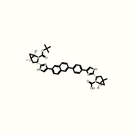 CC(C)(C)OC(=O)N1[C@H](c2nc(-c3ccc4cc(-c5ccc(-c6c[nH]c([C@@H]7CC8(C)C[C@H]8N7C(=O)O)n6)cc5)ccc4c3)c[nH]2)C[C@@]2(C)C[C@@H]12